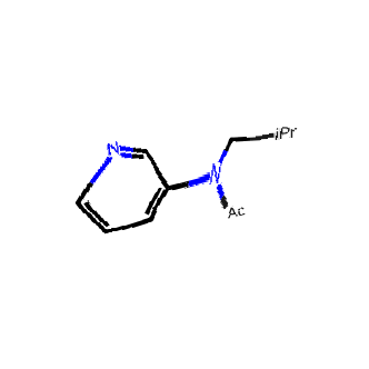 CC(=O)N(CC(C)C)c1cccnc1